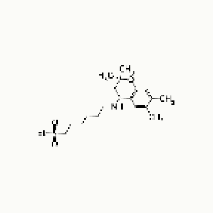 CCS(=O)(=O)CCCCCCNC1CC(C)(C)Oc2cc(C)c(C)cc21